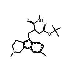 CNC(=O)C(CC(=O)OC(C)(C)C)Cn1c2c(c3cc(C)ccc31)CN(C)CC2